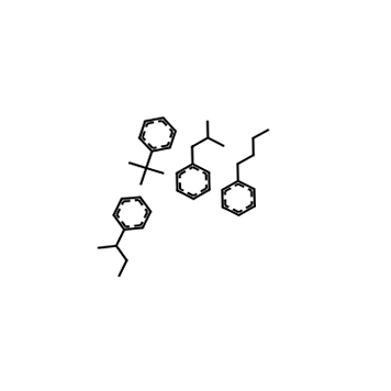 CC(C)(C)c1ccccc1.CC(C)Cc1ccccc1.CCC(C)c1ccccc1.CCCCc1ccccc1